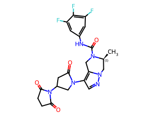 C[C@H]1Cn2ncc(N3CC(N4C(=O)CCC4=O)CC3=O)c2CN1C(=O)Nc1cc(F)c(F)c(F)c1